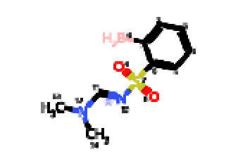 Bc1ccccc1S(=O)(=O)/N=C/N(C)C